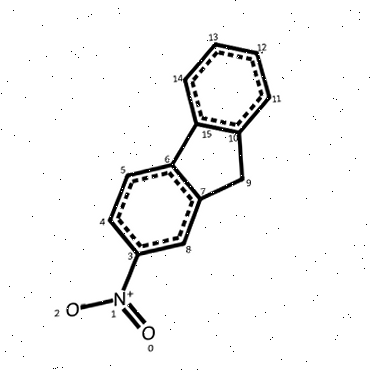 O=[N+]([O-])c1ccc2c(c1)Cc1c[c]ccc1-2